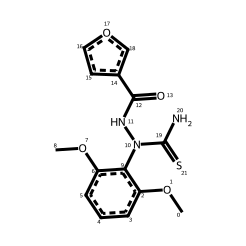 COc1cccc(OC)c1N(NC(=O)c1ccoc1)C(N)=S